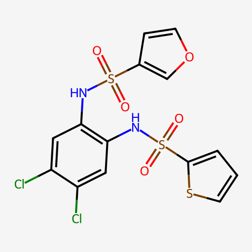 O=S(=O)(Nc1cc(Cl)c(Cl)cc1NS(=O)(=O)c1cccs1)c1ccoc1